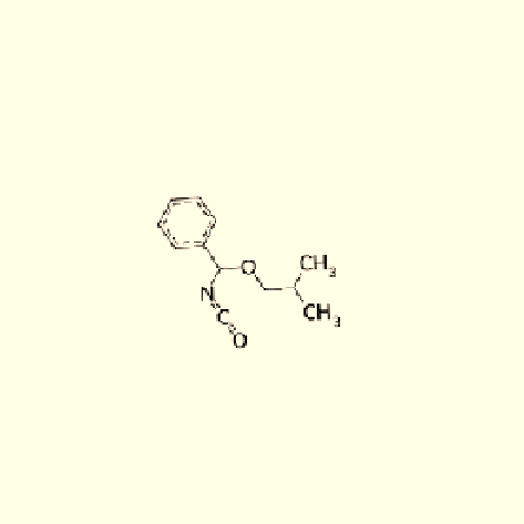 CC(C)COC(N=C=O)c1ccccc1